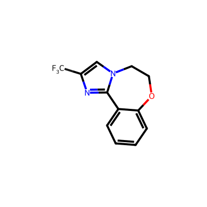 FC(F)(F)c1cn2c(n1)-c1ccccc1OCC2